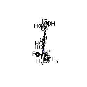 CC(C)c1nc(N(C)S(C)(=O)=O)nc(-c2ccc(F)cc2)c1/C=C/[C@@H](O)C[C@@H](O)CC(=O)OCCCC[C@@H](CON(O)O)ON(O)O